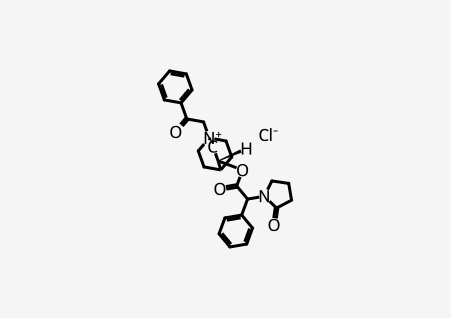 O=C(C[N+]12CCC(CC1)[C@@H](OC(=O)C(c1ccccc1)N1CCCC1=O)C2)c1ccccc1.[Cl-]